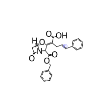 O=C(O)C(C/C=C/c1ccccc1)=C1O[C@@H]2CC(=O)N2C1C(=O)OCc1ccccc1